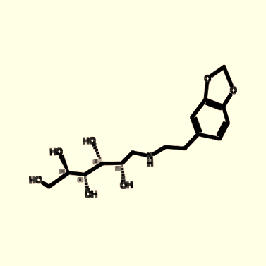 OC[C@@H](O)[C@@H](O)[C@H](O)[C@@H](O)CNCCc1ccc2c(c1)OCO2